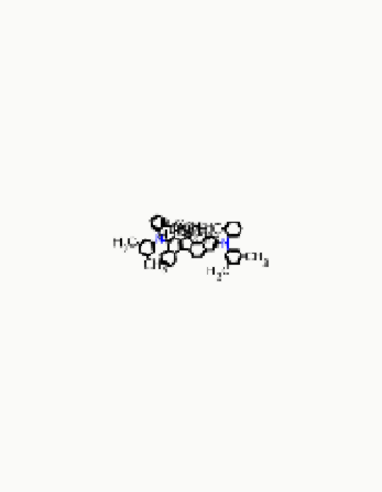 Cc1cc(C)cc(N(c2ccc3c4c(ccc3c2)-c2c(cc(N(c3cc(C)cc(C)c3)c3ccccc3C)c3ccccc23)C4([Si](C)(C)C)[Si](C)(C)C)c2ccccc2C)c1